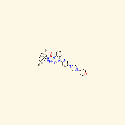 NC(=O)C12CC3C[C@H](C1)C(NC(=O)N1CCN(c4ccc(N5CCN(C6CCOCC6)CC5)cn4)c4ccccc41)[C@@H](C3)C2